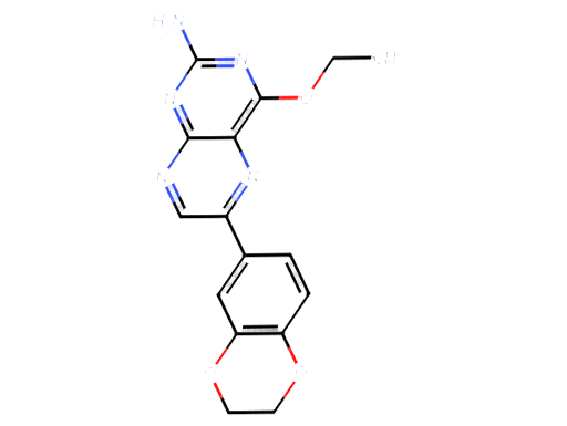 CCOc1nc(N)nc2ncc(-c3ccc4c(c3)OCCO4)nc12